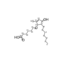 CCCCCCCC1C(O)C=C(I)C1OCCCCCC(=O)O